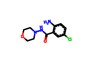 Nc1ccc(Cl)cc1C(=O)NN1CCOCC1